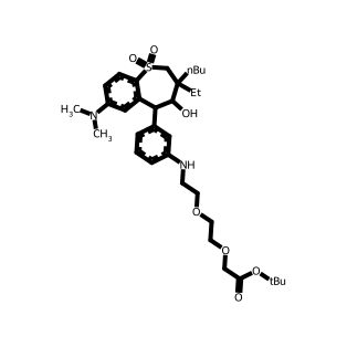 CCCCC1(CC)CS(=O)(=O)c2ccc(N(C)C)cc2C(c2cccc(NCCOCCOCC(=O)OC(C)(C)C)c2)C1O